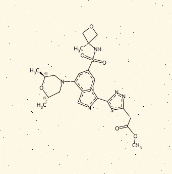 COC(=O)Cc1nnc(-c2ncc3c(N4C[C@H](C)O[C@@H](C)C4)cc(S(=O)(=O)NC4(C)COC4)cn23)s1